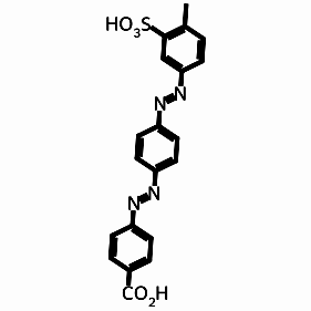 Cc1ccc(N=Nc2ccc(N=Nc3ccc(C(=O)O)cc3)cc2)cc1S(=O)(=O)O